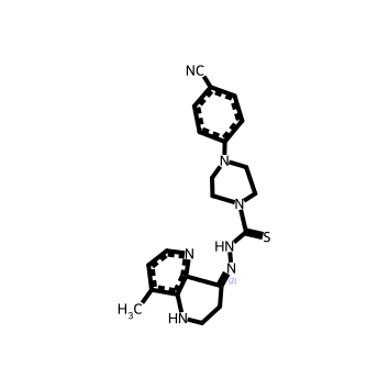 Cc1ccnc2c1NCC/C2=N/NC(=S)N1CCN(c2ccc(C#N)cc2)CC1